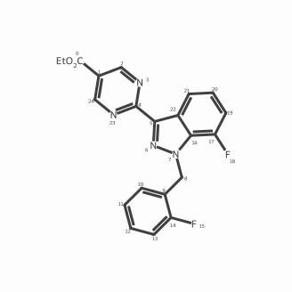 CCOC(=O)c1cnc(-c2nn(Cc3ccccc3F)c3c(F)cccc23)nc1